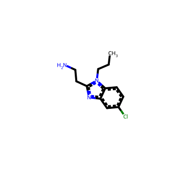 CCCn1c(CCN)nc2cc(Cl)ccc21